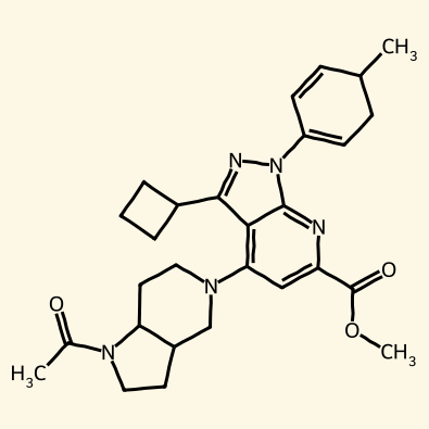 COC(=O)c1cc(N2CCC3C(CCN3C(C)=O)C2)c2c(C3CCC3)nn(C3=CCC(C)C=C3)c2n1